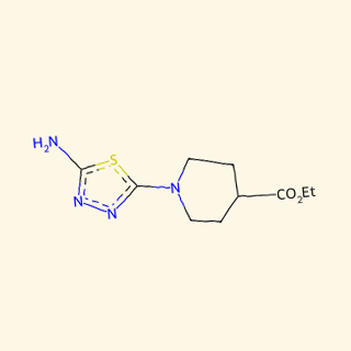 CCOC(=O)C1CCN(c2nnc(N)s2)CC1